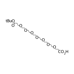 CC(C)(C)OC(=O)CCOCCOCCOCCOCCOCCOCCOCCC(=O)O